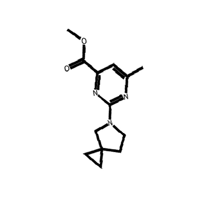 COC(=O)c1cc(C)nc(N2CCC3(CC3)C2)n1